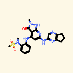 CN(c1ccccc1Nc1cc(Nc2cnc3c(n2)CCC3)nc2[nH]n(C)c(=O)c12)S(C)(=O)=O